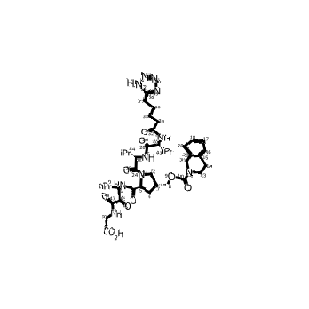 CCCC(NC(=O)[C@@H]1C[C@@H](COC(=O)N2CCc3ccccc3C2)CN1C(=O)[C@@H](NC(=O)[C@H](NC(=O)CCCCc1nnn[nH]1)C(C)C)C(C)C)C(=O)C(=O)NCC(=O)O